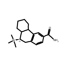 C[N+](C)(C)[C@@H]1Cc2ccc(C(N)=O)cc2C2CCCCC21